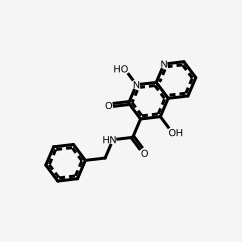 O=C(NCc1ccccc1)c1c(O)c2cccnc2n(O)c1=O